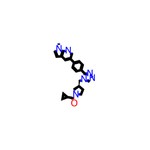 Cn1ccc2cc(-c3ccc(-c4nncn4C[C@H]4CCN(C(=O)C5CC5)C4)cc3)cnc21